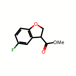 COC(=O)C1COc2ccc(F)cc21